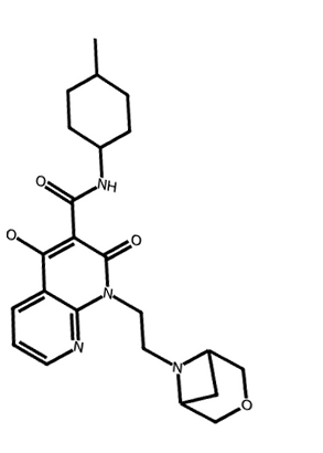 CC1CCC(NC(=O)c2c(O)c3cccnc3n(CCN3C4COCC3C4)c2=O)CC1